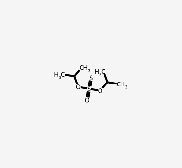 CC(C)OS(=O)(=S)OC(C)C